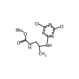 CC(CNC(=O)OC(C)(C)C)Nc1nc(Cl)nc(Cl)n1